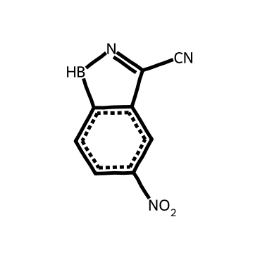 N#CC1=NBc2ccc([N+](=O)[O-])cc21